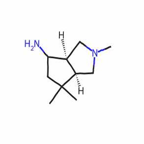 CN1C[C@@H]2C(N)CC(C)(C)[C@@H]2C1